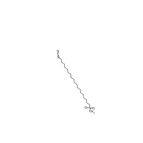 C[Si](Cl)(Cl)CCCCCCCCCCCCCCCCCCCN=C=O